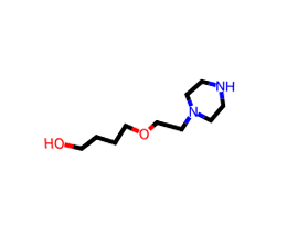 OCCCCOCCN1CCNCC1